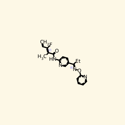 C=C/C(F)=C(\C)C(=O)Nc1ccc(/C(CC)=N/Oc2ccccn2)cn1